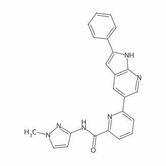 Cn1ccc(NC(=O)c2cccc(-c3cnc4[nH]c(-c5ccccc5)cc4c3)n2)n1